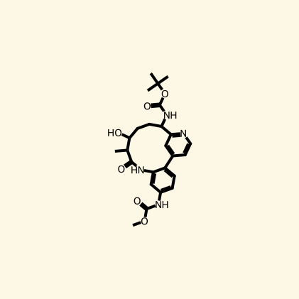 COC(=O)Nc1ccc2c(c1)NC(=O)C(C)C(O)CCC(NC(=O)OC(C)(C)C)c1cc-2ccn1